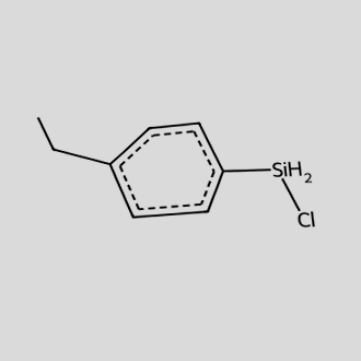 CCc1ccc([SiH2]Cl)cc1